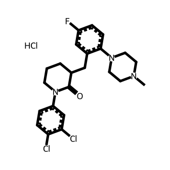 CN1CCN(c2ccc(F)cc2CC2CCCN(c3ccc(Cl)c(Cl)c3)C2=O)CC1.Cl